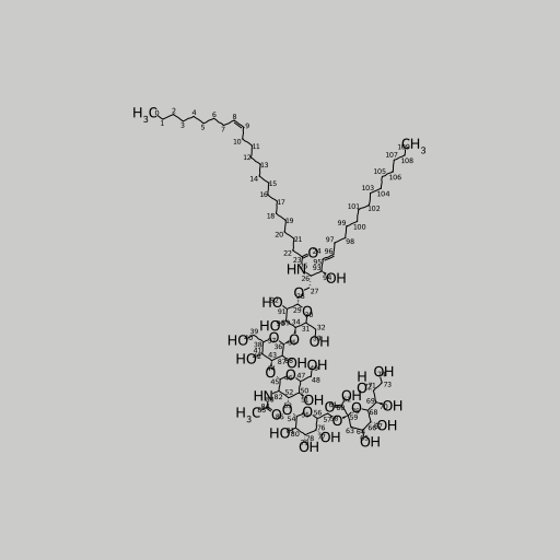 CCCCCCCC/C=C\CCCCCCCCCCCCCC(=O)N[C@@H](CO[C@@H]1OC(CO)[C@@H](O[C@@H]2OC(CO)[C@H](O)[C@H](O[C@@H]3OC(CO)[C@@H](O)[C@H](O[C@@H]4OC(CO[C@]5(C(=O)O)CC(O)[C@@H](O)C([C@H](O)[C@H](O)CO)O5)[C@H](O)[C@H](O)C4O)C3NC(C)=O)C2O)[C@H](O)C1O)[C@H](O)/C=C/CCCCCCCCCCCCC